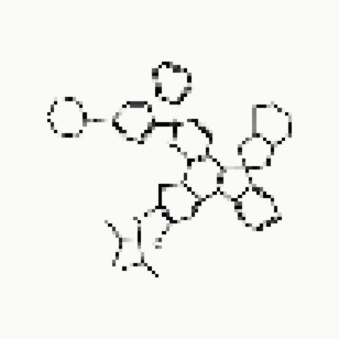 CC(C)C1(C(C)C)Oc2cc3c4c(c5c(c3cc2S1)OC(c1ccccc1)(c1ccc(N2CCCCC2)cc1)C=C5)C1(CC2CCCCC2C1)c1ccccc1-4